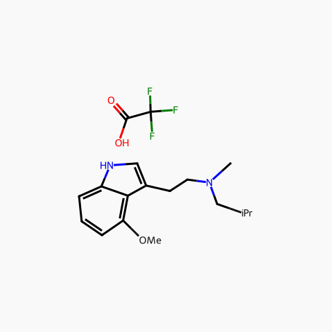 COc1cccc2[nH]cc(CCN(C)CC(C)C)c12.O=C(O)C(F)(F)F